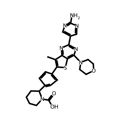 Cc1c(-c2ccc(C3CCCCN3C(=O)O)cc2)sc2c(N3CCOCC3)nc(-c3cnc(N)nc3)nc12